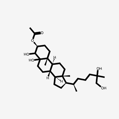 CC(=O)O[C@H]1CC[C@]2(C)[C@H]3CC[C@]4(C)[C@@H]([C@H](C)CCCC(C)(O)CO)CC[C@H]4[C@@H]3CCC2(O)C1O